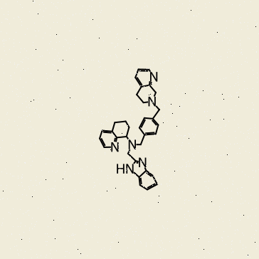 c1cnc2c(c1)CCN(Cc1ccc(CN(Cc3nc4ccccc4[nH]3)C3CCCc4cccnc43)cc1)C2